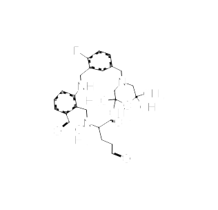 CN(Cc1c(C=O)cccc1NCc1cc(CN2CC(C)(C)OC(C)(C)C2)ccc1F)C(C=O)CCC=O